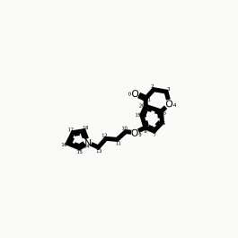 O=C1CCOc2ccc(OCCCCn3cccc3)cc21